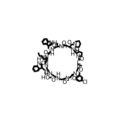 CCCCC1NC(=O)[C@H](Cc2c[nH]c3ccccc23)NC(=O)C(C)NC(=O)CC(C(=O)N2CCCCC2)NC(=O)[C@@H]2CCCN2C(=O)CN(C)C(=O)[C@H](Cc2cccc(Cl)c2)N(C)C(=O)[C@H](C)N(C)C(=O)CNC(=O)[C@H](CO)NC(=O)[C@H](Cc2c[nH]c3ccccc23)NC1=O